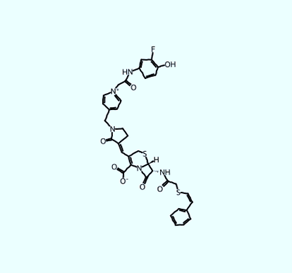 O=C(C[n+]1ccc(CN2CC/C(=C\C3=C(C(=O)[O-])N4C(=O)[C@@H](NC(=O)CS/C=C\c5ccccc5)[C@H]4SC3)C2=O)cc1)Nc1ccc(O)c(F)c1